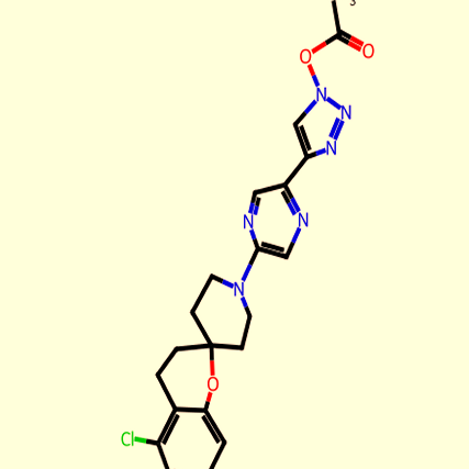 CC(=O)On1cc(-c2cnc(N3CCC4(CCc5c(Cl)cccc5O4)CC3)cn2)nn1